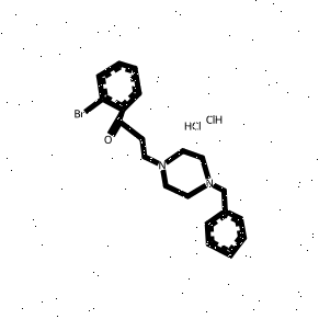 Cl.Cl.O=C(CCN1CCN(Cc2ccccc2)CC1)c1ccccc1Br